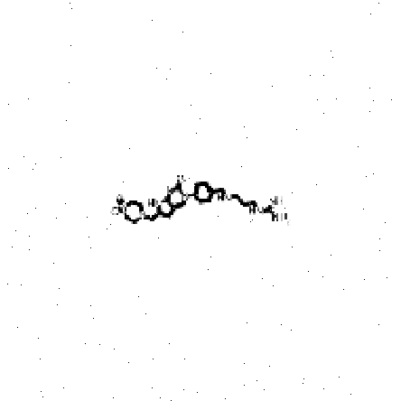 N=C(N)NCCCNCc1ccc(-n2cc3cc(CN4CCS(=O)(=O)CC4)[nH]c3nc2=O)cc1